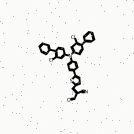 N#C/C(C=O)=C\c1ccc(-c2ccc(N(c3ccc(-c4ccccc4)c(Cl)c3)c3ccc(-c4ccccc4)c(Cl)c3)cc2)s1